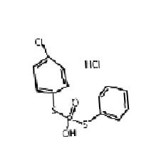 Cl.O=P(O)(Sc1ccccc1)Sc1ccc(Cl)cc1